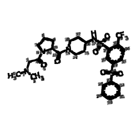 CN(C)CC(=O)N1CCC[C@H]1C(=O)N1CCC(NS(=O)(=O)c2cc(S(=O)(=O)c3ccccc3)ccc2C(F)(F)F)CC1